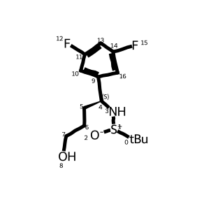 CC(C)(C)[S+]([O-])N[C@@H](CCCO)c1cc(F)cc(F)c1